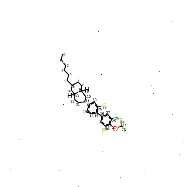 CCCCCCC1CC[C@@H]2C[C@H](c3ccc(-c4cc(F)c(OC(F)F)c(F)c4)c(F)c3)CC[C@@H]2C1